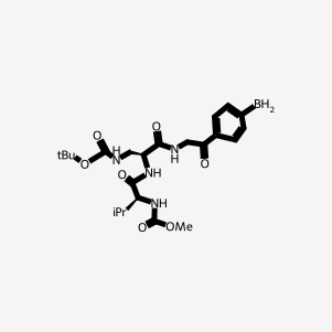 Bc1ccc(C(=O)CNC(=O)[C@H](CNC(=O)OC(C)(C)C)NC(=O)[C@@H](NC(=O)OC)C(C)C)cc1